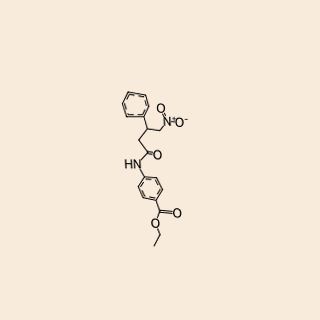 CCOC(=O)c1ccc(NC(=O)CC(C[N+](=O)[O-])c2ccccc2)cc1